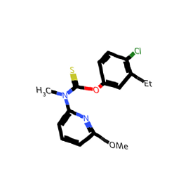 CCc1cc(OC(=S)N(C)c2cccc(OC)n2)ccc1Cl